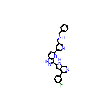 Fc1cccc(-c2cncc3[nH]c(-c4n[nH]c5ccc(-c6cncc(CNCc7ccccc7)c6)nc45)cc23)c1